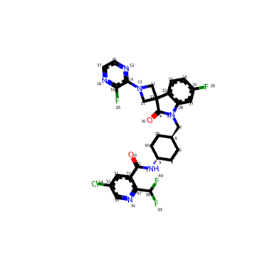 O=C(N[C@H]1CC[C@H](CN2C(=O)C3(CN(c4nccnc4F)C3)c3ccc(F)cc32)CC1)c1cc(Cl)cnc1C(F)F